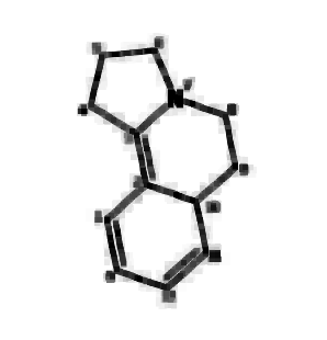 C1=CC2=C3CCCN3CCC2C=C1